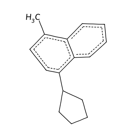 Cc1ccc(C2CCCC2)c2ccccc12